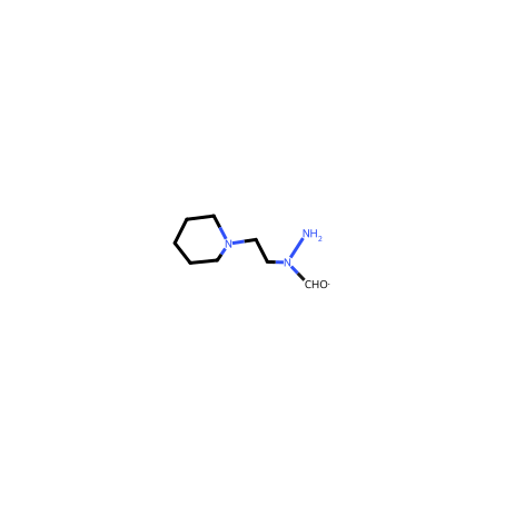 NN([C]=O)CCN1CCCCC1